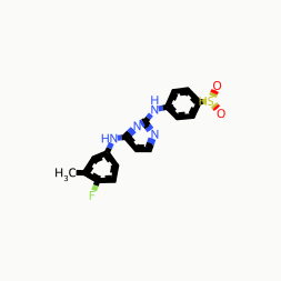 Cc1cc(Nc2ccnc(Nc3ccc([SH](=O)=O)cc3)n2)ccc1F